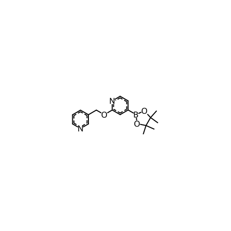 CC1(C)OB(c2ccnc(OCc3cccnc3)c2)OC1(C)C